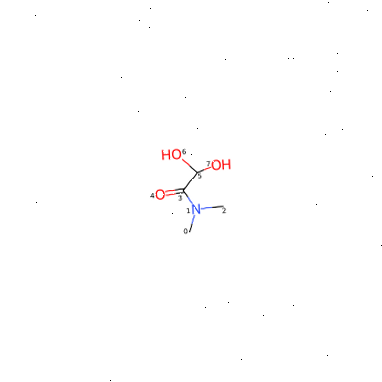 CN(C)C(=O)C(O)O